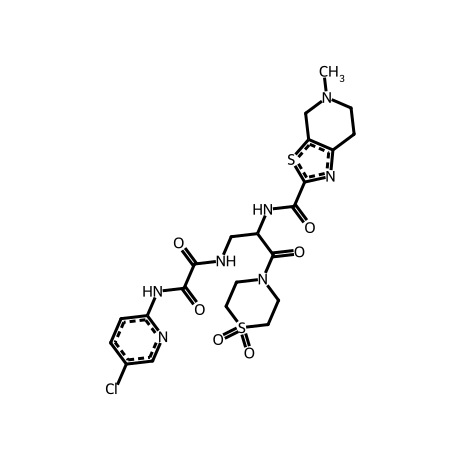 CN1CCc2nc(C(=O)NC(CNC(=O)C(=O)Nc3ccc(Cl)cn3)C(=O)N3CCS(=O)(=O)CC3)sc2C1